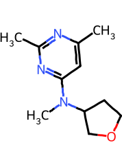 Cc1cc(N(C)C2CCOC2)nc(C)n1